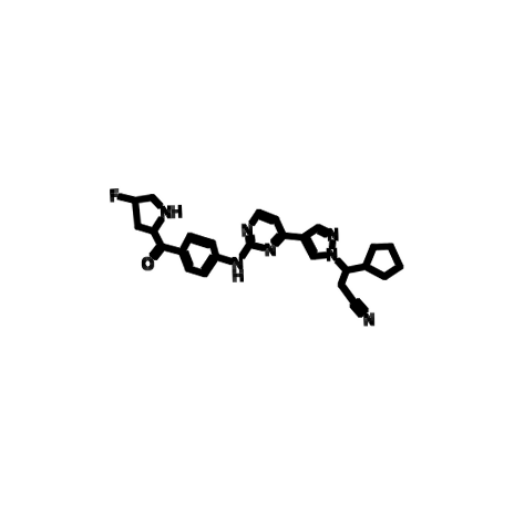 N#CCC(C1CCCC1)n1cc(-c2ccnc(Nc3ccc(C(=O)C4CC(F)CN4)cc3)n2)cn1